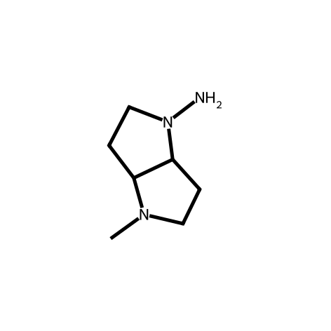 CN1CCC2C1CCN2N